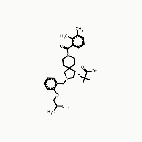 Cc1cccc(C(=O)N2CCC3(CCN(Cc4ccccc4OCC(C)C)C3)CC2)c1C.O=C(O)C(F)(F)F